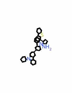 N[C@@]1(n2c3ccccc3c3cc(-c4ccc5c(c4)c4ccccc4n5-c4ccccc4)ccc32)C=CC=C1c1cccc2c1sc1ccccc12